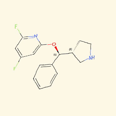 Fc1cc(F)nc(O[C@H](c2ccccc2)[C@@H]2CCNC2)c1